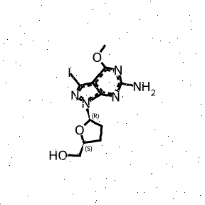 COc1nc(N)nc2c1c(I)nn2[C@H]1CC[C@@H](CO)O1